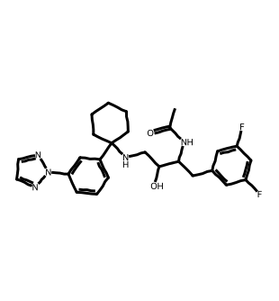 CC(=O)NC(Cc1cc(F)cc(F)c1)C(O)CNC1(c2cccc(-n3nccn3)c2)CCCCC1